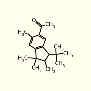 CC(=O)c1cc2c(cc1C)C(C)(C)C(C)C2C(C)(C)C